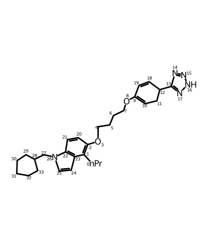 CCCc1c(OCCCCOC2=CCC(c3nn[nH]n3)C=C2)ccc2c1ccn2CC1CCCCC1